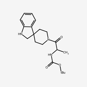 CC(NC(=O)OC(C)(C)C)C(=O)N1CCC2(CC1)CNc1ccccc12